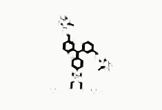 COCCN(CCOC)S(=O)(=O)C1=CCC(=C(c2cc(C=Nn3nnnc3C)ccc2O)c2cc(C=Nn3nnnc3C)ccc2O)C=C1